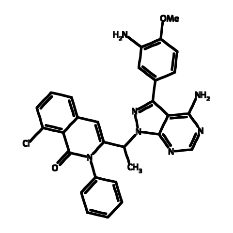 COc1ccc(-c2nn(C(C)c3cc4cccc(Cl)c4c(=O)n3-c3ccccc3)c3ncnc(N)c23)cc1N